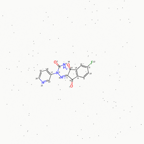 NC(=O)N(/N=c1/c(=O)c2ccc(F)cc2c1=O)c1cccnc1